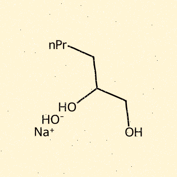 CCCCC(O)CO.[Na+].[OH-]